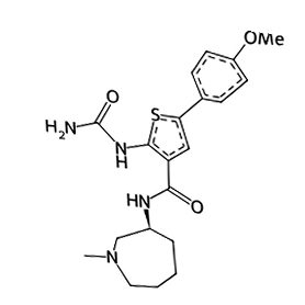 COc1ccc(-c2cc(C(=O)N[C@H]3CCCCN(C)C3)c(NC(N)=O)s2)cc1